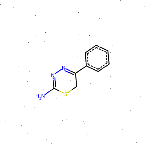 NC1=NN=C(c2ccccc2)CS1